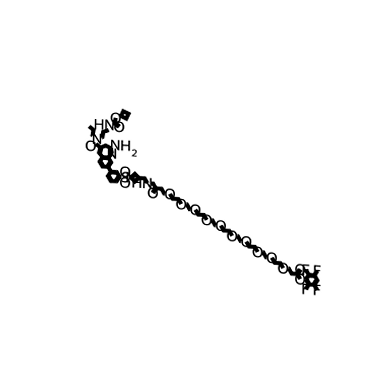 CCCN(CCCNC(=O)OC1CCC1)C(=O)C1=Cc2ccc(-c3cccc(S(=O)(=O)N4CC(CNCC(=O)CCOCCOCCOCCOCCOCCOCCOCCOCCOCCOCCC(=O)Oc5c(F)c(F)cc(F)c5F)C4)c3)cc2N=C(N)C1